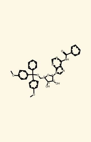 COc1ccc(C(OC[C@H]2O[C@@H](n3cnc4c(NC(=O)c5ccccc5)ncnc43)[C@@H](O)[C@H]2O)(c2ccccc2)c2ccc(OC)cc2)cc1